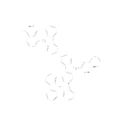 c1ccc(C2(c3ccccc3)c3ccccc3-c3cc4c(cc32)c2cc(-c3ccc5c(c3)c3ccccc3n5-c3cccc5ccccc35)ccc2n4-c2ccc3ccccc3c2)cc1